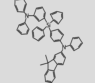 CC1(C)c2ccccc2-c2ccc(N(c3ccccc3)c3ccc([Si](c4ccccc4)(c4ccccc4)c4cccc(N(c5ccccc5)c5ccccc5)c4)cc3)cc21